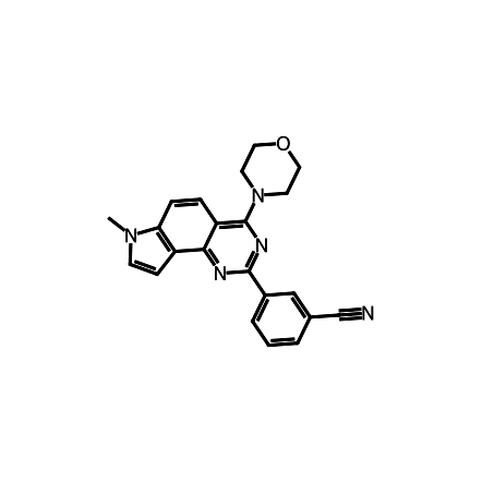 Cn1ccc2c3nc(-c4cccc(C#N)c4)nc(N4CCOCC4)c3ccc21